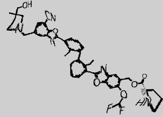 Cc1c(-c2nc3cc(COC(=O)[C@@H]4CCCN4)c(OC(F)F)cc3o2)cccc1-c1cccc(-c2nc3cc(CN4CC(C)(CO)C4)cc(C#N)c3o2)c1C